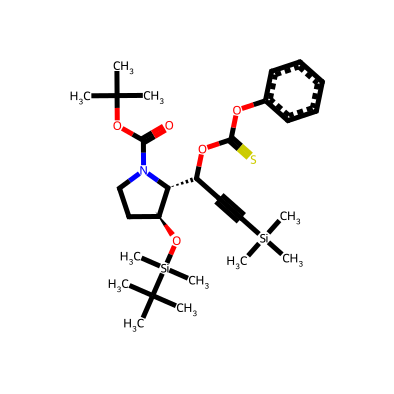 CC(C)(C)OC(=O)N1CC[C@H](O[Si](C)(C)C(C)(C)C)[C@H]1C(C#C[Si](C)(C)C)OC(=S)Oc1ccccc1